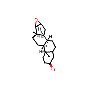 C[C@]12CCC(=O)CC1CC[C@@H]1[C@H]2CC[C@]2(C)C3OC3C[C@@H]12